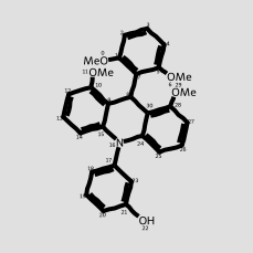 COc1cccc(OC)c1C1c2c(OC)cccc2N(c2cccc(O)c2)c2cccc(OC)c21